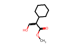 COC(=O)C(=CO)C1CCCCC1